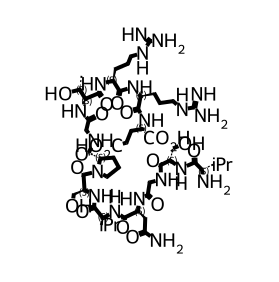 CC(C)[C@H](N)C(=O)N[C@@H](CO)C(=O)NCC(=O)N[C@@H](CC(N)=O)C(=O)N[C@H](C(=O)N[C@@H](CO)C(=O)N1CCC[C@H]1C(=O)NCC(=O)N[C@H](C(=O)N[C@@H](CCCNC(=N)N)C(=O)N[C@@H](CCCNC(=N)N)C(=O)N[C@@H](CCC(=O)O)C(=O)O)[C@@H](C)O)C(C)C